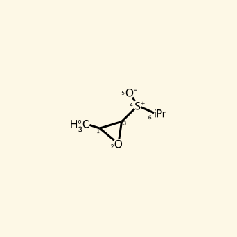 CC1OC1[S+]([O-])C(C)C